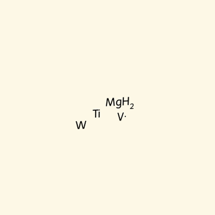 [MgH2].[Ti].[V].[W]